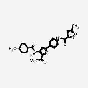 COC(=O)c1sc(-c2ccc(NC(=O)c3cc(C)on3)cc2)cc1N(C(=O)[C@H]1CC[C@H](C)CC1)C(C)C